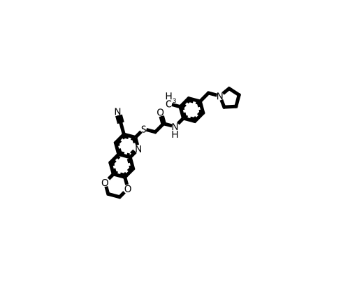 Cc1cc(CN2CCCC2)ccc1NC(=O)CSc1nc2cc3c(cc2cc1C#N)OCCO3